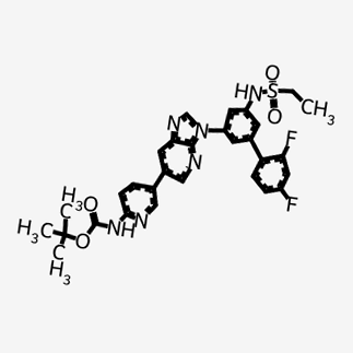 CCS(=O)(=O)Nc1cc(-c2ccc(F)cc2F)cc(-n2cnc3cc(-c4ccc(NC(=O)OC(C)(C)C)nc4)cnc32)c1